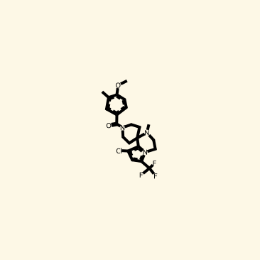 COc1ccc(C(=O)N2CCC3(CC2)c2c(Cl)cc(C(F)(F)F)n2CCN3C)cc1C